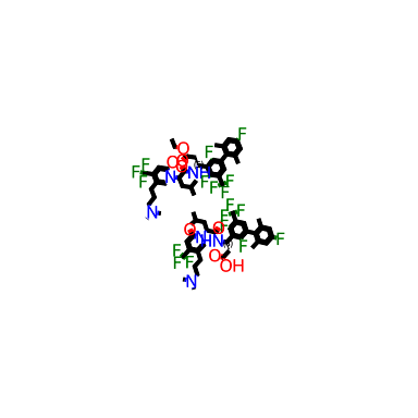 CCOC(=O)C[C@H](NC(=O)C(CC(C)C)n1cc(CCCN(C)C)c(C(F)(F)F)cc1=O)c1c(F)c(-c2c(C)cc(F)cc2C)cc(C(F)(F)F)c1F.Cc1cc(F)cc(C)c1-c1cc(C(F)(F)F)c(F)c([C@H](CC(=O)O)NC(=O)C(CC(C)C)n2cc(CCCN(C)C)c(C(F)(F)F)cc2=O)c1F